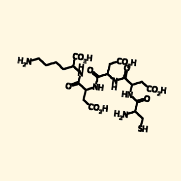 NCCCCC(NC(=O)C(CC(=O)O)NC(=O)C(CC(=O)O)NC(=O)C(CC(=O)O)NC(=O)C(N)CS)C(=O)O